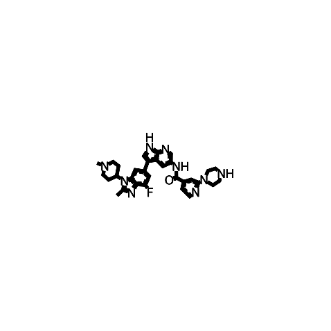 Cc1nc2c(F)cc(-c3c[nH]c4ncc(NC(=O)c5ccnc(N6CCNCC6)c5)cc34)cc2n1C1CCN(C)CC1